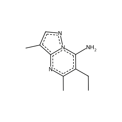 CCc1c(C)nc2c(C)cnn2c1N